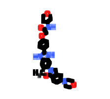 COC1c2ccc(N3CCOCC3)cc2CN1c1ccc2c(c1)NC(c1ccc(OCC(=O)NC3CCOCC3)cc1)N2